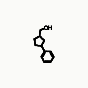 OCC1CCC(c2ccccc2)C1